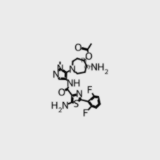 CC(=O)O[C@@H]1CCN(c2c(NC(=O)c3nc(-c4c(F)cccc4F)sc3N)cnn2C)CC[C@H]1N